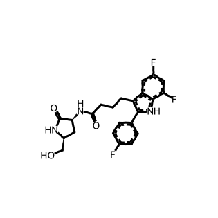 O=C(CCCc1c(-c2ccc(F)cc2)[nH]c2c(F)cc(F)cc12)N[C@H]1C[C@@H](CO)NC1=O